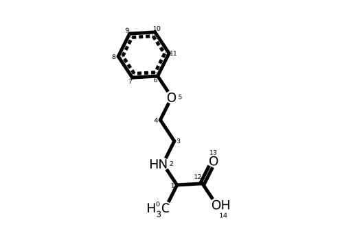 CC(NCCOc1ccccc1)C(=O)O